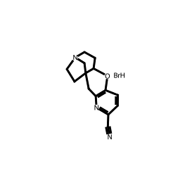 Br.N#Cc1ccc2c(n1)CC13CCN(CCC1O2)C3